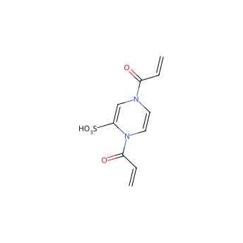 C=CC(=O)N1C=CN(C(=O)C=C)C(S(=O)(=O)O)=C1